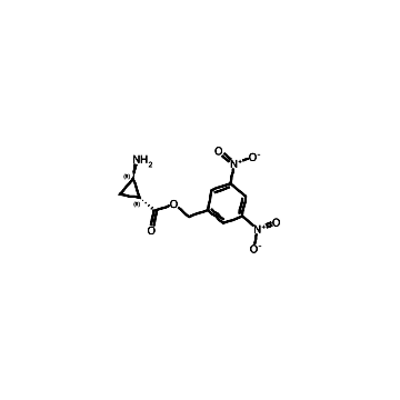 N[C@@H]1C[C@H]1C(=O)OCc1cc([N+](=O)[O-])cc([N+](=O)[O-])c1